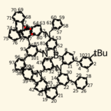 CC(C)(C)c1cccc(-c2ccc3c(c2)N(c2cc(-c4ccccc4)cc(-c4ccccc4)c2)c2cc(-n4c5ccccc5c5ccccc54)cc4c2B3c2ccc(N(c3ccccc3)c3ccc(-n5c6ccccc6c6ccccc65)cc3)cc2N4c2cc(-c3ccccc3)cc(-c3ccccc3)c2)c1